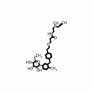 C#CCN(C)CCNC(=O)CCOCCc1ccc(Cc2cc([C@@H]3O[C@H](SC)[C@@H](O)[C@H](O)[C@H]3O)ccc2C)cc1